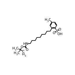 Cc1ccc(S(=O)(=O)O)c(CCCCCCCCCNC(=O)OC(C)(C)C)c1